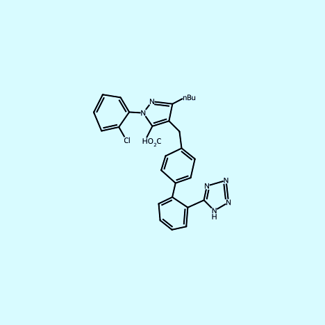 CCCCc1nn(-c2ccccc2Cl)c(C(=O)O)c1Cc1ccc(-c2ccccc2-c2nnn[nH]2)cc1